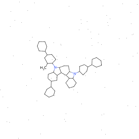 CC1CC(C2CCCCC2)CCC1N1C2CCC(C3CCCCC3)CC2C2C3C4CCCCC4N(C4CCC(C5CCCCC5)CC4)C3CCC21